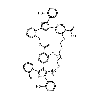 COCCOCCOc1cc(-n2cc(-c3ccccc3OOC(=O)c3ccc(-n4c(-c5ccccc5O)nc(-c5ccccc5O)c4C)cc3OC)nc2-c2ccccc2O)ccc1C(=O)O